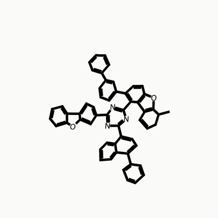 CC1CC=Cc2c1oc1ccc(-c3cccc(-c4ccccc4)c3)c(-c3nc(-c4ccc5c(c4)oc4ccccc45)nc(-c4ccc(-c5ccccc5)c5ccccc45)n3)c21